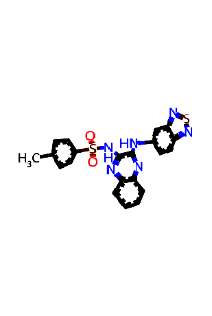 Cc1ccc(S(=O)(=O)Nc2nc3ccccc3nc2Nc2ccc3nsnc3c2)cc1